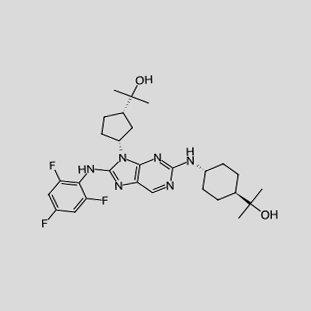 CC(C)(O)[C@H]1CC[C@@H](n2c(Nc3c(F)cc(F)cc3F)nc3cnc(N[C@H]4CC[C@H](C(C)(C)O)CC4)nc32)C1